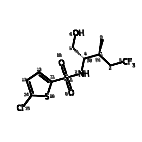 C[C@@H](CC(F)(F)F)[C@@H](CO)NS(=O)(=O)c1ccc(Cl)s1